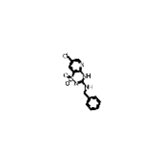 O=S1(=O)N=C(NCc2ccccc2)Nc2ncc(Cl)cc21